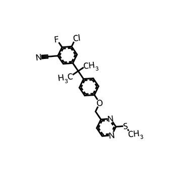 CSc1nccc(COc2ccc(C(C)(C)c3cc(Cl)c(F)c(C#N)c3)cc2)n1